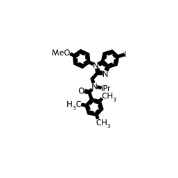 COc1ccc(-n2c(CN(C(=O)c3c(C)cc(C)cc3C)C(C)C)nc3cc(I)ccc32)cc1